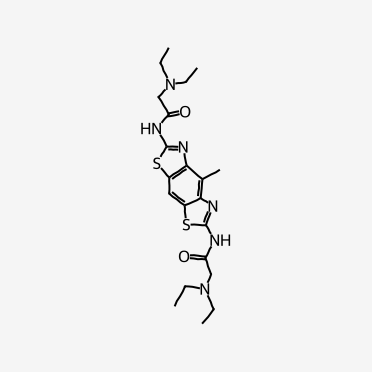 CCN(CC)CC(=O)Nc1nc2c(C)c3nc(NC(=O)CN(CC)CC)sc3cc2s1